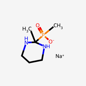 CC1(P(C)(=O)[O-])NCCCN1.[Na+]